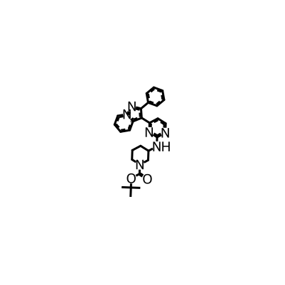 CC(C)(C)OC(=O)N1CCCC(Nc2nccc(-c3c(-c4ccccc4)nn4ccccc34)n2)C1